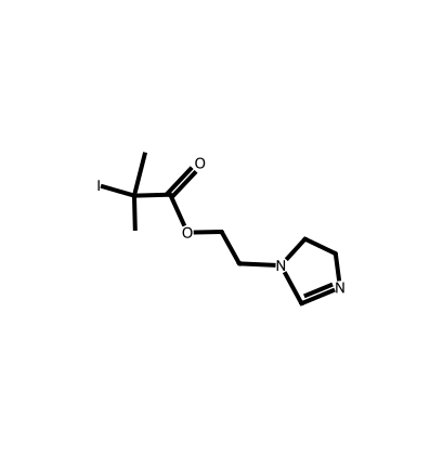 CC(C)(I)C(=O)OCCN1C=NCC1